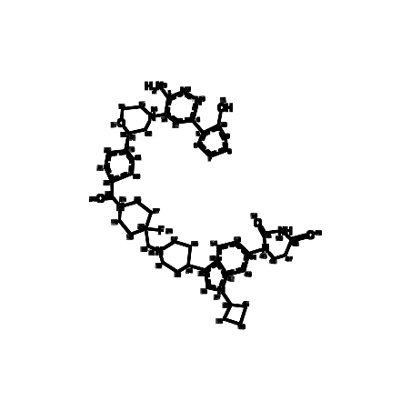 Nc1nnc(-c2ccccc2O)cc1N1CCO[C@H](c2ccc(C(=O)N3CCC(F)(CN4CCC(c5cn(C6CCC6)c6cc(N7CCC(=O)NC7=O)ccc56)CC4)CC3)cc2)C1